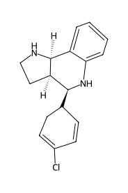 ClC1=CCC([C@@H]2Nc3ccccc3[C@@H]3NCC[C@@H]32)C=C1